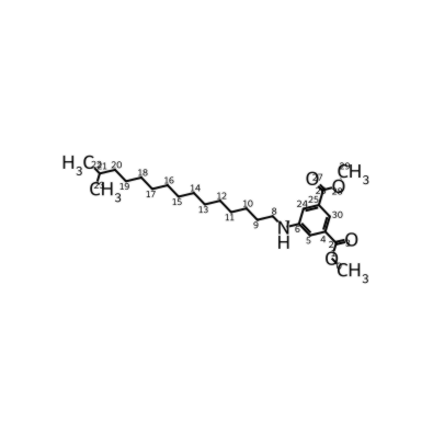 COC(=O)c1cc(NCCCCCCCCCCCCCC(C)C)cc(C(=O)OC)c1